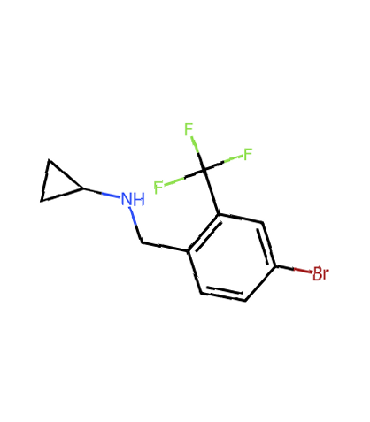 FC(F)(F)c1cc(Br)ccc1CNC1CC1